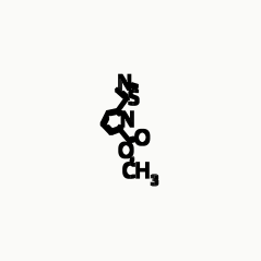 CCOC(=O)c1cccc(-c2cncs2)n1